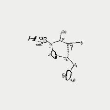 BC1OC(COC)C(C)C1C